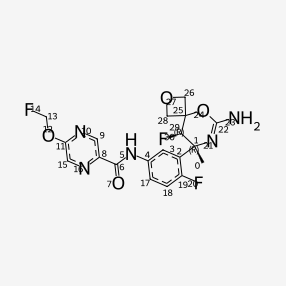 C[C@]1(c2cc(NC(=O)c3cnc(OCF)cn3)ccc2F)N=C(N)OC2(COC2)[C@@H]1F